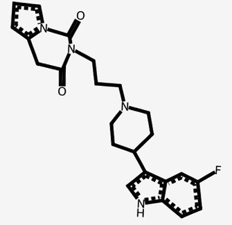 O=C1Cc2cccn2C(=O)N1CCCN1CCC(c2c[nH]c3ccc(F)cc23)CC1